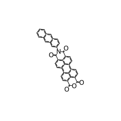 O=C1OC(=O)c2ccc3c4ccc5c6c(ccc(c7ccc1c2c73)c64)C(=O)N(c1ccc2cc3ccccc3cc2c1)C5=O